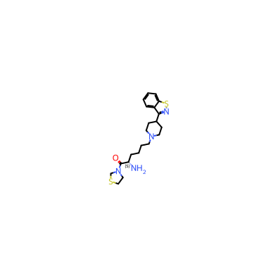 N[C@@H](CCCCN1CCC(c2nsc3ccccc23)CC1)C(=O)N1CCSC1